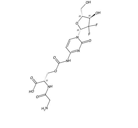 NCC(=O)N[C@@H](COC(=O)Nc1ccn([C@@H]2O[C@H](CO)[C@@H](O)C2(F)F)c(=O)n1)C(=O)O